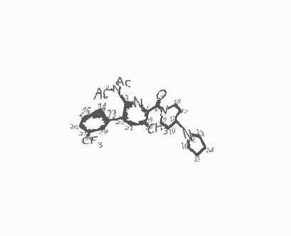 CC(=O)N(C(C)=O)c1nc(C(=O)N2CCC(N3CCCC3)CC2)c(C)cc1-c1cccc(C(F)(F)F)c1